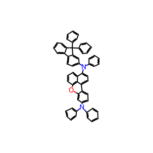 c1ccc(N(c2ccccc2)c2ccc3c(c2)Oc2cccc4c(N(c5ccccc5)c5ccc6c(c5)C(c5ccccc5)(c5ccccc5)c5ccccc5-6)ccc-3c24)cc1